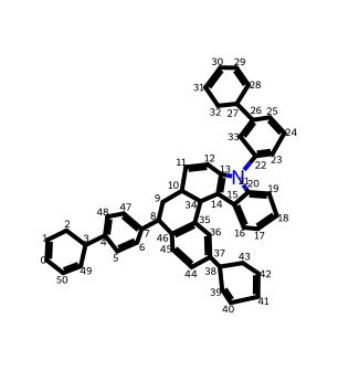 C1=CCC(c2ccc(C3CC4C=Cc5c(c6ccccc6n5-c5cccc(C6C=CC=CC6)c5)C4c4cc(C5C=CC=CC5)ccc43)cc2)C=C1